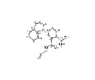 C=CCOC(=O)c1ccccc1C(=O)O.c1ccc2ccccc2c1